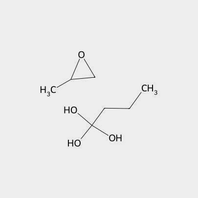 CC1CO1.CCCC(O)(O)O